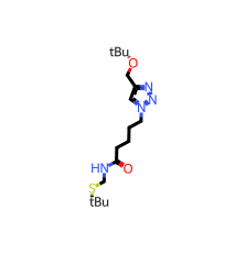 CC(C)(C)OCc1cn(CCCCC(=O)NCSC(C)(C)C)nn1